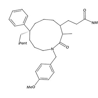 CCCC(C)C[C@]1(c2ccccc2)CCCC(CCC(=O)NC)C(C)C(=O)N(Cc2ccc(OC)cc2)CCC1